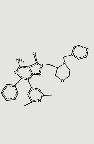 Cc1cc(-c2c(-c3ccccc3)nc(N)n3c(=O)n(C[C@@H]4COCCN4Cc4ccccc4)nc23)cc(C)n1